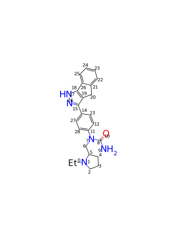 CCN1CCCC1CN(C(N)=O)c1ccc(-c2n[nH]c3c2Cc2ccccc2-3)cc1